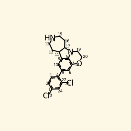 Clc1ccc(-c2cc3c4c(c2)C2CCNCCC2N4CCO3)c(Cl)c1